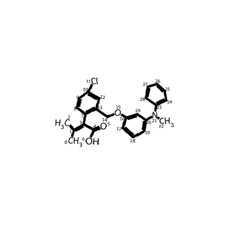 CC(C)=C(C(=O)O)c1ccc(Cl)cc1COc1cccc(N(C)c2ccccc2)c1